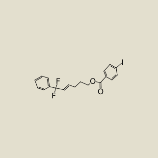 O=C(OCCC/C=C/C(F)(F)c1ccccc1)c1ccc(I)cc1